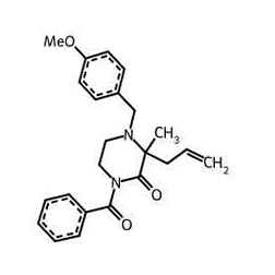 C=CCC1(C)C(=O)N(C(=O)c2ccccc2)CCN1Cc1ccc(OC)cc1